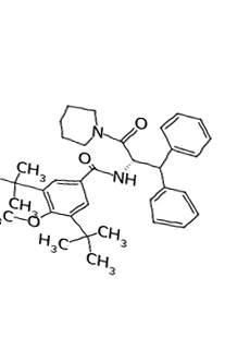 COc1c(C(C)(C)C)cc(C(=O)N[C@H](C(=O)N2CCCCC2)C(c2ccccc2)c2ccccc2)cc1C(C)(C)C